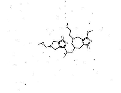 COCCN1Cc2c(SC)n[nH]c2CC(CC(C)c2n[nH]c3c2CN(COC)C3)C1